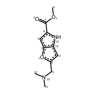 COC(=O)c1cc2oc(CN(C)C)cc2[nH]1